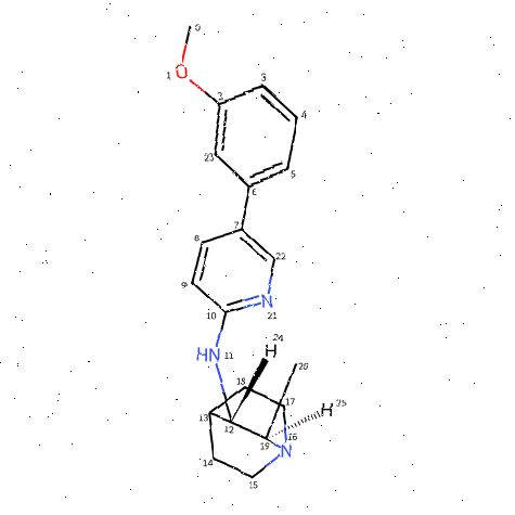 COc1cccc(-c2ccc(N[C@H]3C4CCN(CC4)[C@@H]3C)nc2)c1